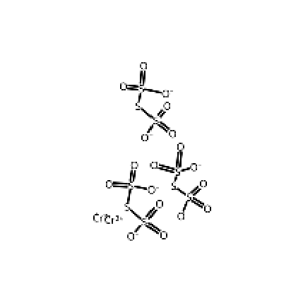 O=S(=O)([O-])SS(=O)(=O)[O-].O=S(=O)([O-])SS(=O)(=O)[O-].O=S(=O)([O-])SS(=O)(=O)[O-].[Cr+3].[Cr+3]